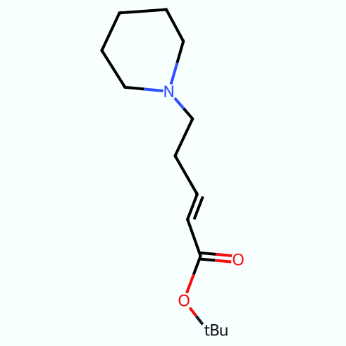 CC(C)(C)OC(=O)/C=C/CCN1CCCCC1